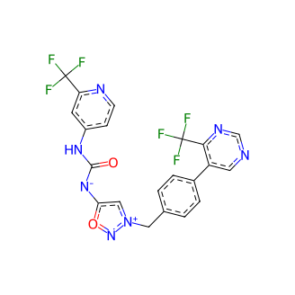 O=C([N-]c1c[n+](Cc2ccc(-c3cncnc3C(F)(F)F)cc2)no1)Nc1ccnc(C(F)(F)F)c1